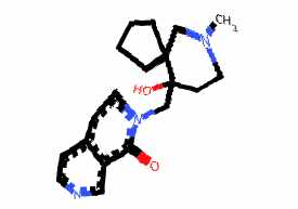 CN1CCC(O)(Cn2ccc3ccncc3c2=O)C2(CCCC2)C1